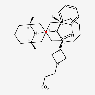 O=C(O)CCN1CC(c2nc3ccccc3n2C2C[C@H]3CCC[C@@H](C2)N3[C@@H]2C[C@@H]3CCCC[C@@H](C3)C2)C1